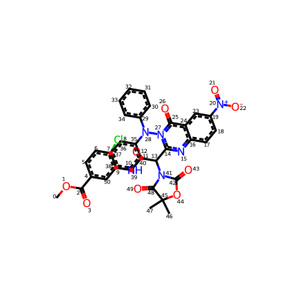 COC(=O)c1ccc(Cl)c(NC(=O)C(c2nc3ccc([N+](=O)[O-])cc3c(=O)n2N(c2ccccc2)c2ccccc2)N2C(=O)OC(C)(C)C2=O)c1